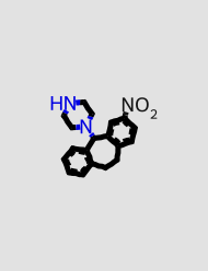 O=[N+]([O-])c1ccc2c(c1)C(N1CCNCC1)c1ccccc1CC2